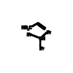 C=CC(=O)O.CC(C)[SiH](C(C)C)C(C)C